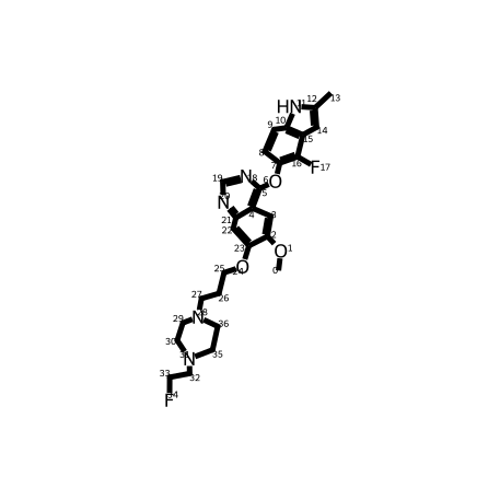 COc1cc2c(Oc3ccc4[nH]c(C)cc4c3F)ncnc2cc1OCCCN1CCN(CCF)CC1